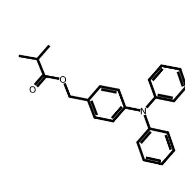 CC(C)C(=O)OCc1ccc(N(c2ccccc2)c2ccccc2)cc1